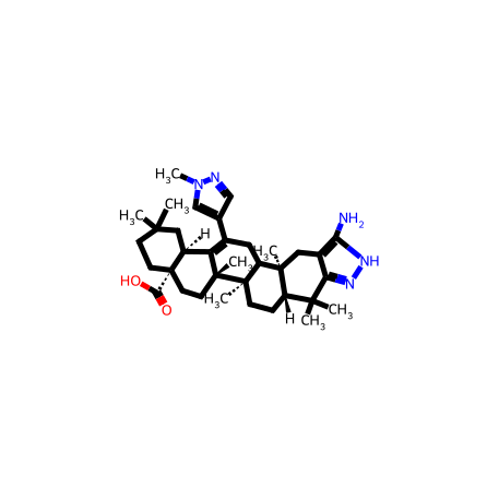 Cn1cc(C2=C3[C@@H]4CC(C)(C)CC[C@]4(C(=O)O)CC[C@@]3(C)[C@]3(C)CC[C@H]4C(C)(C)c5n[nH]c(N)c5C[C@]4(C)C3C2)cn1